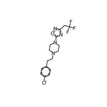 FC(F)(F)Cc1noc(N2CCN(CCc3ccc(Cl)cc3)CC2)n1